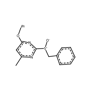 Cc1cc(OC(C)C)nc([S+]([O-])Cc2ccccc2)n1